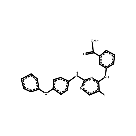 COC(=O)c1cccc(Nc2nc(Nc3ccc(Oc4ccccc4)cc3)ncc2F)c1